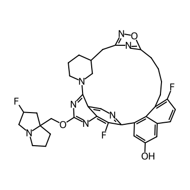 Oc1cc2c3c(c(F)ccc3c1)CCCCc1nc(no1)CC1CCCN(C1)c1nc(OCC34CCCN3CC(F)C4)nc3c(F)c-2ncc13